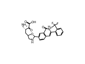 NC[C@@H](CC1CNC(c2ccc3cc(-c4ccccc4C(F)(F)F)[nH]c(=O)c3c2)O1)C(=O)C(=O)O